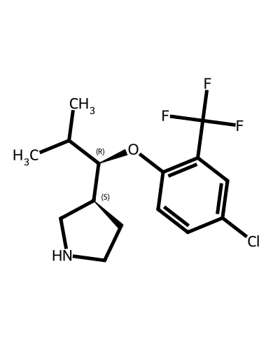 CC(C)[C@@H](Oc1ccc(Cl)cc1C(F)(F)F)[C@H]1CCNC1